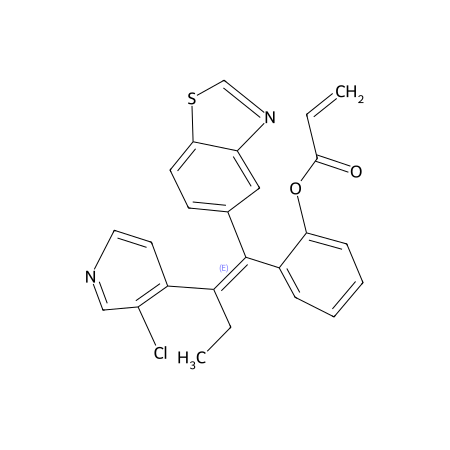 C=CC(=O)Oc1ccccc1/C(=C(\CC)c1ccncc1Cl)c1ccc2scnc2c1